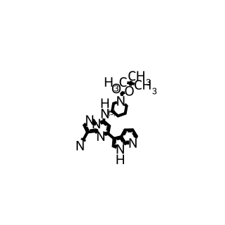 CC(C)(C)OC(=O)N1CCC[C@H](Nc2cc(-c3c[nH]c4ncccc34)nc3c(C#N)cnn23)C1